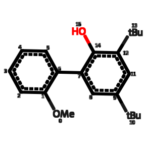 COc1ccccc1-c1cc(C(C)(C)C)cc(C(C)(C)C)c1O